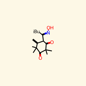 C=C1C(/C(=N/O)C(C)CC)C(=O)C(C)(C)C(=O)C1(C)C